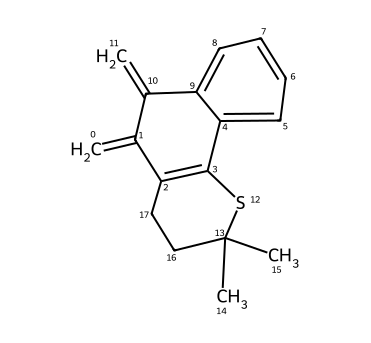 C=c1c2c(c3ccccc3c1=C)SC(C)(C)CC2